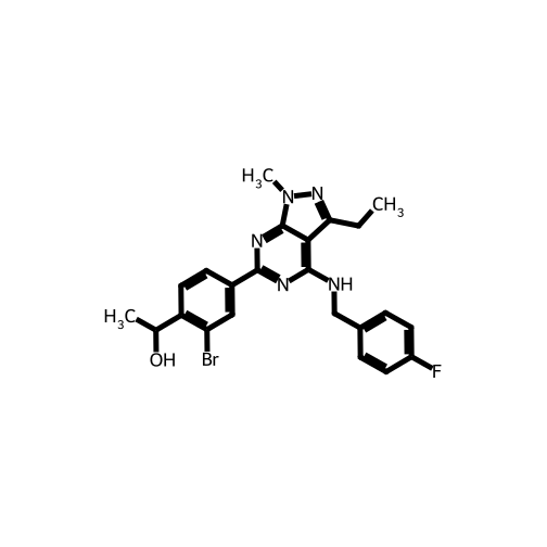 CCc1nn(C)c2nc(-c3ccc(C(C)O)c(Br)c3)nc(NCc3ccc(F)cc3)c12